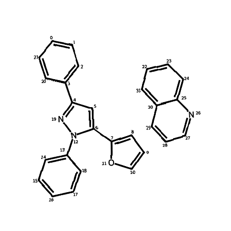 c1ccc(-c2cc(-c3ccco3)n(-c3ccccc3)n2)cc1.c1ccc2ncccc2c1